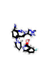 Cn1cc(-c2cc3c(N4CCC[C@@H](N5Cc6ccc(F)cc6C5=O)C4)ccc(C#N)c3[nH]2)cn1